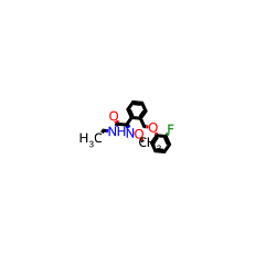 CCNC(=O)/C(=N/OC)c1ccccc1COc1ccccc1F